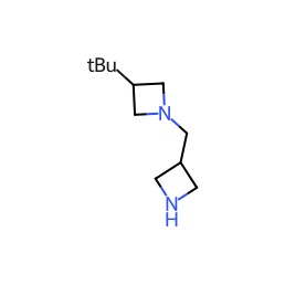 CC(C)(C)C1CN(CC2CNC2)C1